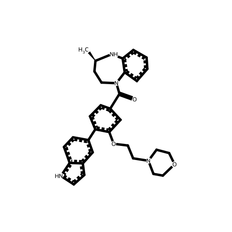 C[C@@H]1CCN(C(=O)c2ccc(-c3ccc4[nH]ccc4c3)c(OCCN3CCOCC3)c2)c2ccccc2N1